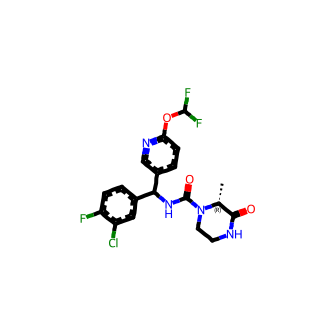 C[C@@H]1C(=O)NCCN1C(=O)NC(c1ccc(OC(F)F)nc1)c1ccc(F)c(Cl)c1